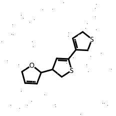 C1=CC(C2C=C(C3=CCSC3)SC2)OC1